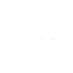 O=C1C(Cc2ccco2)NC2=C(Cc3ccccc3)NC(c3ccccc3)=CN12